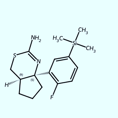 C[Si](C)(C)c1ccc(F)c([C@]23CCC[C@H]2CSC(N)=N3)c1